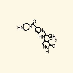 CC(Cn1ccc(C(=O)N2CCNCC2)c1)Nc1cn[nH]c(=O)c1C(F)(F)F